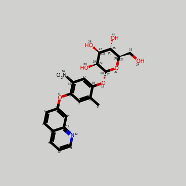 Cc1cc(Oc2ccc3cccnc3c2)c([N+](=O)[O-])cc1O[C@H]1O[C@H](CO)[C@@H](O)[C@H](O)[C@@H]1O